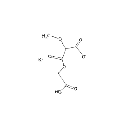 COC(C(=O)[O-])C(=O)OCC(=O)O.[K+]